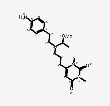 COC(C)N(CCCc1cc(=O)n(C)c(=O)n1C)CCc1ccc(N)cc1